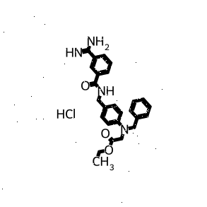 CCOC(=O)CN(Cc1ccccc1)c1ccc(CNC(=O)c2cccc(C(=N)N)c2)cc1.Cl